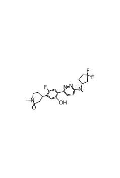 CN1CC[C@@H](c2cc(O)c(-c3ccc(N(C)[C@H]4CCC(F)(F)C4)nn3)cc2F)CC1=O